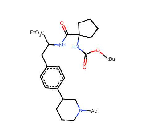 CCOC(=O)C(Cc1ccc(C2CCCN(C(C)=O)C2)cc1)NC(=O)C1(NC(=O)OC(C)(C)C)CCCC1